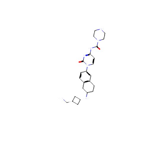 NC[C@H]1C[C@H](NC2CCc3cc(-n4ccc(NC(=O)N5CCNCC5)nc4=O)ccc3C2)C1